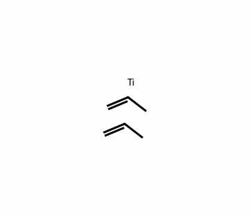 C=CC.C=CC.[Ti]